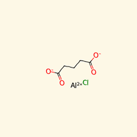 O=C([O-])CCCC(=O)[O-].[Al+2][Cl]